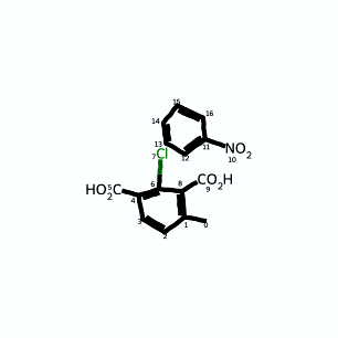 Cc1ccc(C(=O)O)c(Cl)c1C(=O)O.O=[N+]([O-])c1ccccc1